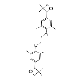 Cc1cc(C2OCC2(C)C)cc(C)c1OCCOc1c(C)cc(C2OCC2(C)C)cc1C